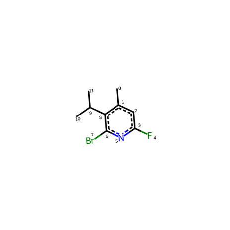 Cc1cc(F)nc(Br)c1C(C)C